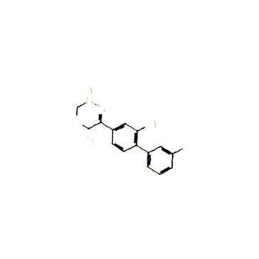 C[C@@H]1OCNN=C1c1ccc(-c2cccc(F)c2)c(C(F)(F)F)c1